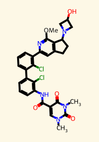 COc1nc(-c2cccc(-c3cccc(NC(=O)c4cn(C)c(=O)n(C)c4=O)c3Cl)c2Cl)cc2c1C(N1CC(O)C1)CC2